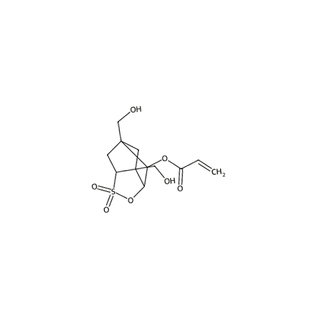 C=CC(=O)OC1C2OS(=O)(=O)C3CC1(CO)CC23CO